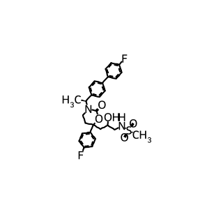 C[C@@H](c1ccc(-c2ccc(F)cc2)cc1)N1CCC(CC(O)CNS(C)(=O)=O)(c2ccc(F)cc2)OC1=O